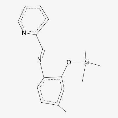 Cc1ccc(N=Cc2ccccn2)c(O[Si](C)(C)C)c1